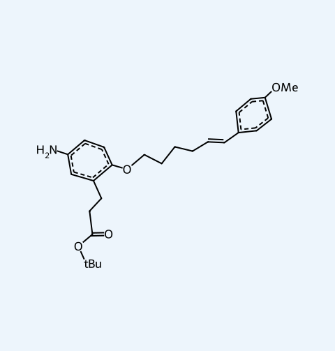 COc1ccc(/C=C/CCCCOc2ccc(N)cc2CCC(=O)OC(C)(C)C)cc1